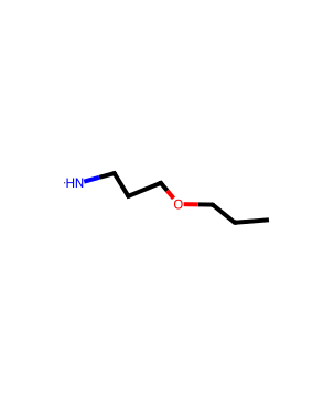 CCCOCCC[NH]